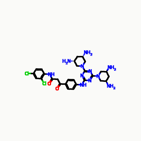 N[C@@H]1C[C@H](N)CN(c2nc(Nc3ccc(C(=O)CC(=O)Nc4ccc(Cl)cc4Cl)cc3)nc(N3C[C@H](N)C[C@H](N)C3)n2)C1